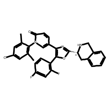 Cc1cc(Cl)cc(C)c1-n1cc(-c2nc([C@H]3Cc4ccccc4CN3)oc2-c2ccc(F)cc2F)ccc1=O